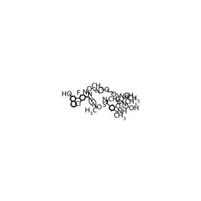 CC(=O)N1CCN(c2nc(O[C@H](C)CN3CCC(OCCOCC(=O)N[C@H](C(=O)N4C[C@H](O)C[C@H]4C(=O)N[C@@H](C)c4ccc(-c5scnc5C)cc4)C(C)(C)C)CC3)nc3c(F)c(-c4cc(O)cc5ccccc45)c(Cl)cc23)CC1